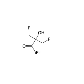 CC(C)C(=O)C(O)(CF)CF